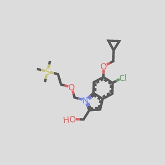 CS(C)(C)CCOCn1c(CO)cc2cc(Cl)c(OCC3CC3)cc21